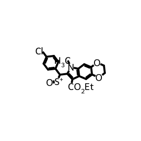 CCOC(=O)c1c(C([S+]=O)c2ccc(Cl)cc2)n(C)c2cc3c(cc12)OCCO3